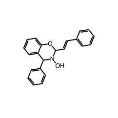 ON1C(/C=C/c2ccccc2)Oc2ccccc2C1c1ccccc1